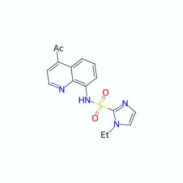 CCn1ccnc1S(=O)(=O)Nc1cccc2c(C(C)=O)ccnc12